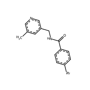 Cc1cncc(CNC(=O)c2ccc(C(C)C)cc2)c1